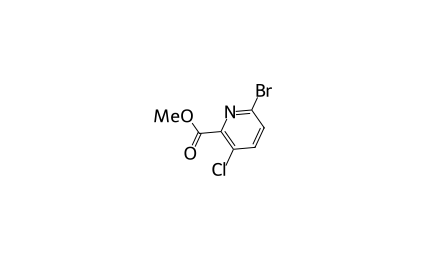 COC(=O)c1nc(Br)ccc1Cl